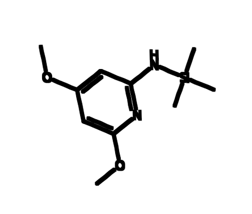 COc1cc(N[Si](C)(C)C)nc(OC)c1